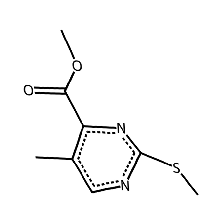 COC(=O)c1nc(SC)ncc1C